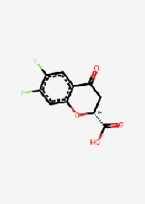 O=C1C[C@H](C(=O)O)Oc2cc(F)c(F)cc21